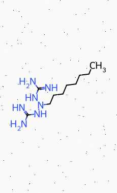 CCCCCCCCN(NC(=N)N)NC(=N)N